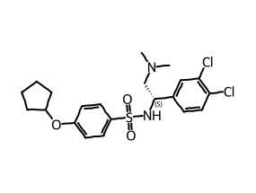 CN(C)C[C@@H](NS(=O)(=O)c1ccc(OC2CCCC2)cc1)c1ccc(Cl)c(Cl)c1